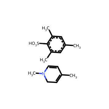 CC1=CCN(C)C=C1.Cc1cc(C)c(S(=O)(=O)O)c(C)c1